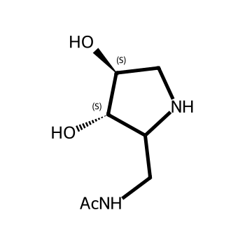 CC(=O)NCC1NC[C@H](O)[C@H]1O